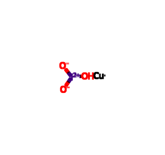 [Cu].[O-][I+2]([O-])O